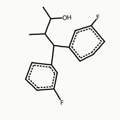 CC(O)C(C)C(c1cccc(F)c1)c1cccc(F)c1